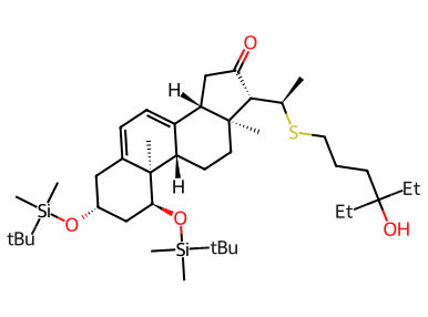 CCC(O)(CC)CCCS[C@H](C)[C@H]1C(=O)C[C@H]2C3=CC=C4C[C@@H](O[Si](C)(C)C(C)(C)C)C[C@H](O[Si](C)(C)C(C)(C)C)[C@]4(C)[C@H]3CC[C@]12C